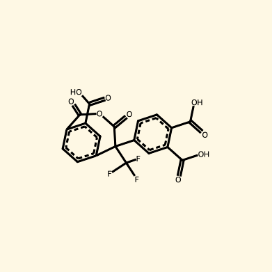 O=C(O)c1ccc(C2(C(F)(F)F)C(=O)OC(=O)c3ccc2cc3C(=O)O)cc1C(=O)O